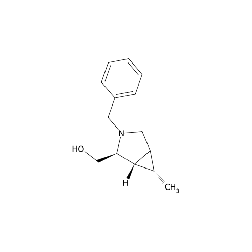 C[C@H]1C2CN(Cc3ccccc3)[C@H](CO)[C@H]21